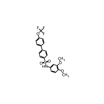 COc1ccc(NS(=O)(=O)c2ccc(-c3ccc(OC(F)(F)F)cc3)cc2)cc1OC